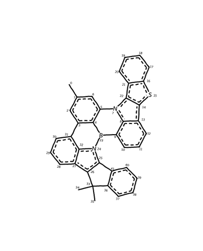 Cc1cc2c3c(c1)-n1c4c(cccc4c4sc5ccccc5c41)B3n1c3c(c4cccc-2c41)C(C)(C)c1ccccc1-3